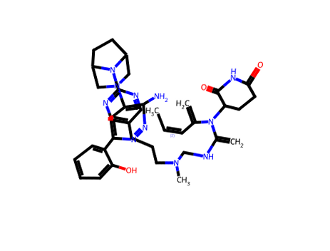 C=C(/C=C\C)N(C(=C)NCN(C)CCCc1cnc(N2C3CCC2CN(c2cc(-c4ccccc4O)nnc2N)C3)nc1)C1CCC(=O)NC1=O